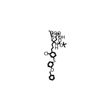 COCOCC(CCCc1ccc(Sc2cccc(OCc3ccccc3)c2)cc1Cl)(CCP(=O)(O)O)NC(=O)OC(C)(C)C